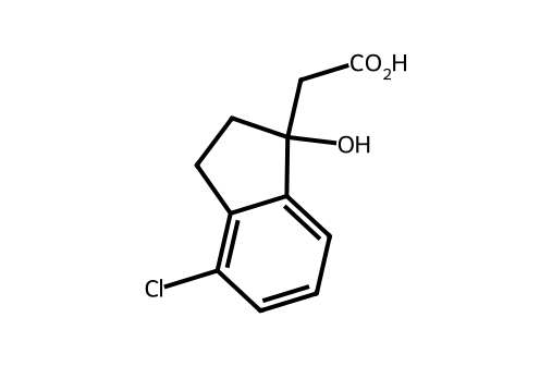 O=C(O)CC1(O)CCc2c(Cl)cccc21